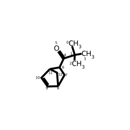 CC(C)(C)C(=O)C1CC2C=CC1C2